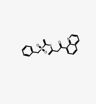 C=C(CC(=O)c1cccc2cccnc12)SC(=C)S(=O)(=O)Cc1ccccc1